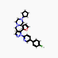 Fc1ccc(-c2ccc(-n3ncc(CN4CCN(C5CCCC5)CC4)c3-c3ccco3)nc2)cc1